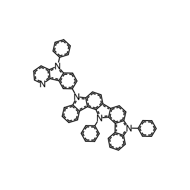 c1ccc(-n2c3ccc(-n4c5ccccc5c5c4ccc4c6ccc7c(c8ccccc8n7-c7ccccc7)c6n(-c6ccccc6)c45)cc3c3ncccc32)cc1